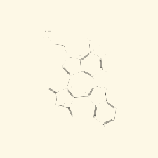 NCCn1cc(C2=C(c3c[nH]c4ccccc34)C(=O)NC2=O)c2cccc([N+](=O)[O-])c21